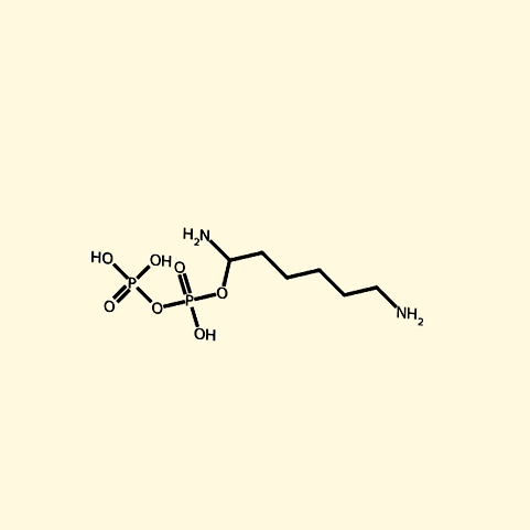 NCCCCCC(N)OP(=O)(O)OP(=O)(O)O